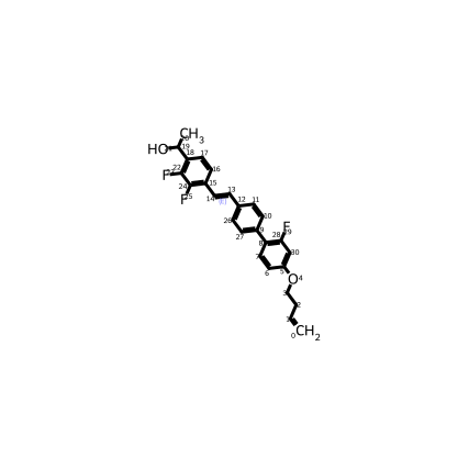 C=CCCOc1ccc(-c2ccc(/C=C/c3ccc(C(C)O)c(F)c3F)cc2)c(F)c1